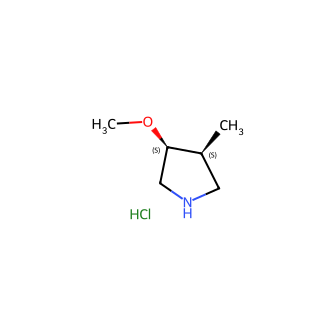 CO[C@@H]1CNC[C@@H]1C.Cl